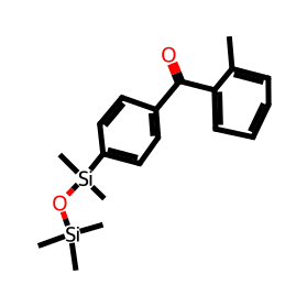 Cc1ccccc1C(=O)c1ccc([Si](C)(C)O[Si](C)(C)C)cc1